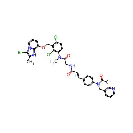 CC(=O)N(Cc1cccnc1)c1ccc(/C=C/C(=O)NCC(=O)N(C)c2ccc(Cl)c(COc3cccn4c(Br)c(C)nc34)c2Cl)cc1